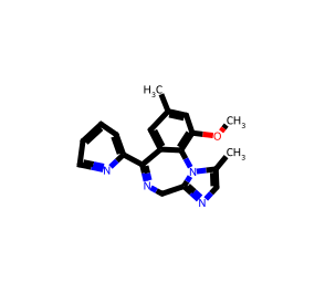 COc1cc(C)cc2c1-n1c(C)cnc1CN=C2c1ccccn1